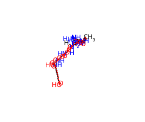 CN[C@@H](CCCCNC(=O)COCCOCCNC(=O)COCCOCCNC(=O)CC[C@H](NC(=O)CCCCCCCCCCCCCCCCC(=O)O)C(=O)O)C(=O)CN[C@@H](CCCNC(=N)N)CC(=O)N[C@@H](Cc1ccc(C)cc1)C(N)=O